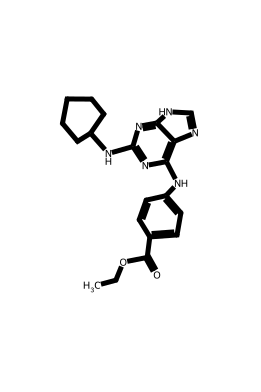 CCOC(=O)c1ccc(Nc2nc(NC3CCCCC3)nc3[nH]cnc23)cc1